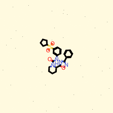 O=C(Nc1cccc(S(=O)(=O)C2CCCC2)c1)N1CCCCC1c1nc(-c2ccccc2)no1